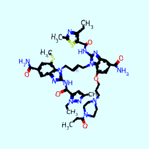 CCC(=O)N1CCN(CCCOc2cc(C(N)=O)cc3nc(NC(=O)c4sc(C)nc4CC)n(C/C=C/Cn4c(NC(=O)c5cc(C)nn5CC)nc5cc(C(N)=O)cc(SC)c54)c23)CC1